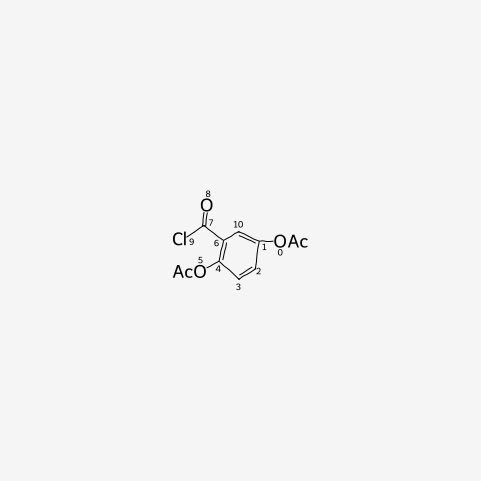 CC(=O)Oc1ccc(OC(C)=O)c(C(=O)Cl)c1